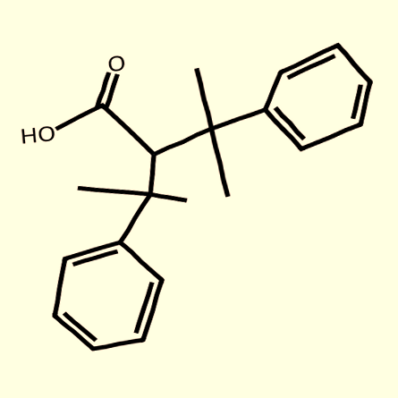 CC(C)(c1ccccc1)C(C(=O)O)C(C)(C)c1ccccc1